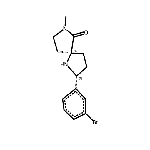 CN1CC[C@@]2(CC[C@H](c3cccc(Br)c3)N2)C1=O